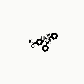 O=C(O)c1ccc(N(NS(=O)(=O)c2ccccc2)C(=O)c2ccccc2)cc1